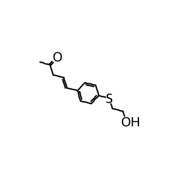 CC(=O)CC=Cc1ccc(SCCO)cc1